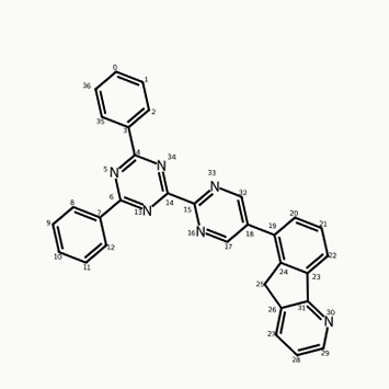 c1ccc(-c2nc(-c3ccccc3)nc(-c3ncc(-c4cccc5c4Cc4cccnc4-5)cn3)n2)cc1